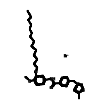 CCCCCCCCCCCCCCOc1cc(NC(=O)c2ccc(C[n+]3csc(C)c3)cc2)ccc1OC.[Br-]